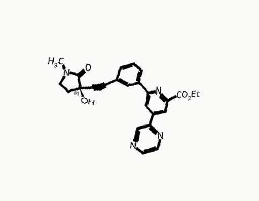 CCOC(=O)c1cc(-c2cnccn2)cc(-c2cccc(C#C[C@]3(O)CCN(C)C3=O)c2)n1